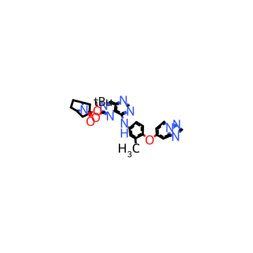 Cc1cc(Nc2ncnc3cnc(OC4CC5CCC(C4)N5C(=O)OC(C)(C)C)nc23)ccc1Oc1ccn2ncnc2c1